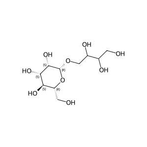 OCC(O)C(O)CO[C@@H]1O[C@H](CO)[C@@H](O)[C@H](O)[C@@H]1O